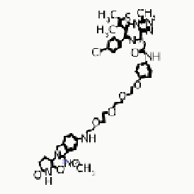 CO/N=C1\c2cc(NCCOCCOCCOCCOc3ccc(NC(=O)C[C@@H]4N=C(c5ccc(Cl)cc5)c5c(sc(C)c5C)-n5c(C)nnc54)cc3)ccc2CN1C1CCC(=O)NC1=O